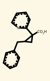 O=C(O)C1(c2ccccn2)CC1Cc1ccccc1